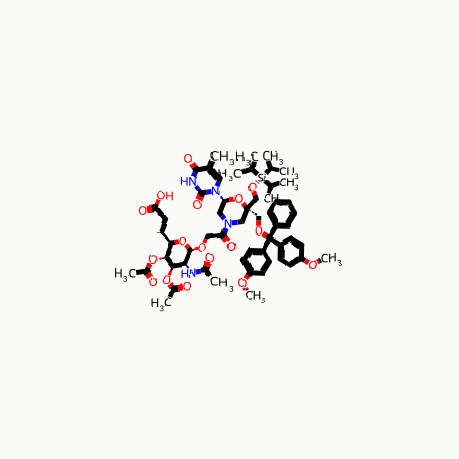 COc1ccc(C(OC[C@]2(CO[Si](C(C)C)(C(C)C)C(C)C)CN(C(=O)CO[C@@H]3O[C@H]([CH]CC(=O)O)[C@@H](OC(C)=O)[C@H](OC(C)=O)[C@H]3NC(C)=O)C[C@H](n3cc(C)c(=O)[nH]c3=O)O2)(c2ccccc2)c2ccc(OC)cc2)cc1